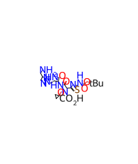 CC(C)(C)OC(=O)Nc1nc(C(=NOC2(C(=O)O)CC2)C(=O)N[C@@H]2C(=O)N[C@@H]2Cn2ncc(CN)n2)cs1